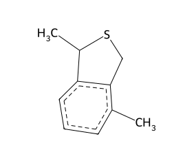 Cc1cccc2c1CSC2C